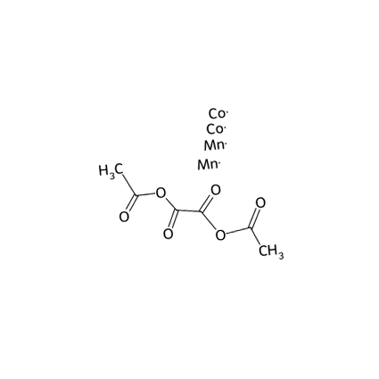 CC(=O)OC(=O)C(=O)OC(C)=O.[Co].[Co].[Mn].[Mn]